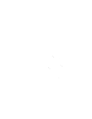 Clc1ccc(-c2nc(Br)nc3c4ccccc4cn23)cc1